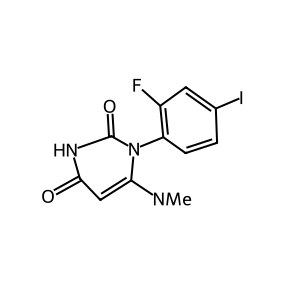 CNc1cc(=O)[nH]c(=O)n1-c1ccc(I)cc1F